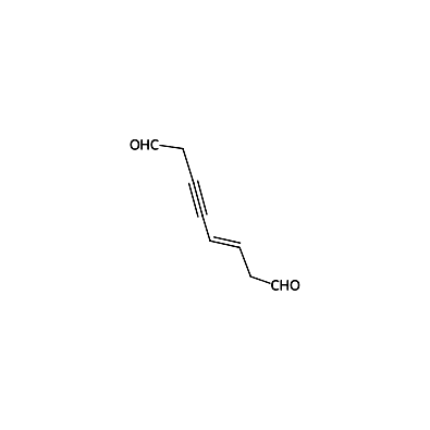 O=CCC#CC=CCC=O